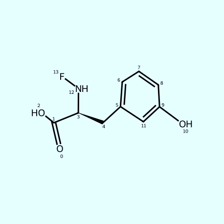 O=C(O)[C@H](Cc1cccc(O)c1)NF